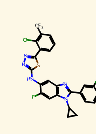 Fc1cccc(-c2nc3cc(Nc4nnc(-c5cccc(C(F)(F)F)c5Cl)s4)c(F)cc3n2C2CC2)c1